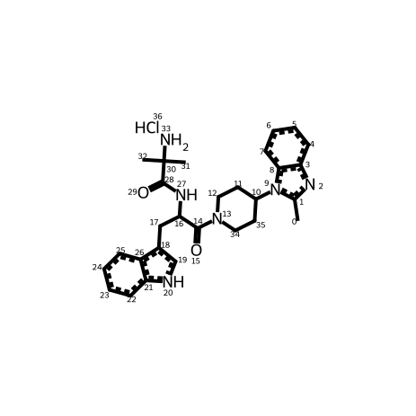 Cc1nc2ccccc2n1C1CCN(C(=O)C(Cc2c[nH]c3ccccc23)NC(=O)C(C)(C)N)CC1.Cl